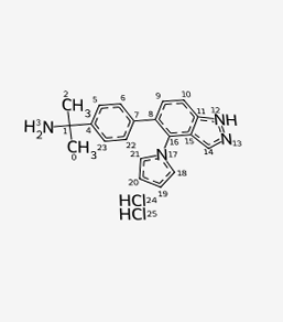 CC(C)(N)c1ccc(-c2ccc3[nH]ncc3c2-n2cccc2)cc1.Cl.Cl